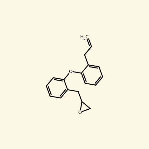 C=CCc1ccccc1Oc1ccccc1CC1CO1